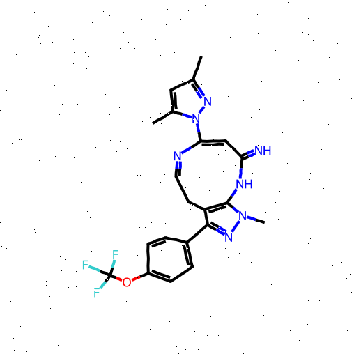 Cc1cc(C)n(C2=C/C(=N)Nc3c(c(-c4ccc(OC(F)(F)F)cc4)nn3C)C/C=N\2)n1